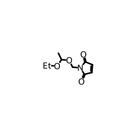 CCOC(C)OCN1C(=O)C=CC1=O